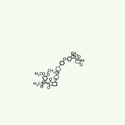 CCOc1cc([C@@H](CS(C)(=O)=O)N2C(=O)c3cccc(N4CCC(F)(CN5CCC(c6ccc(Oc7ccc8c(N9CCC(=O)NC9=O)nn(C)c8c7)cc6)CC5)CC4)c3C2=O)ccc1OC